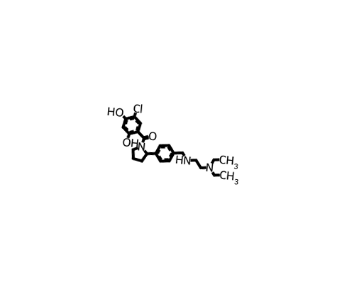 CCN(CC)CCNCc1ccc(C2CCCN2C(=O)c2cc(Cl)c(O)cc2O)cc1